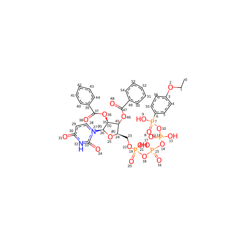 CCOc1ccc(P(=O)(O)OP(=O)(O)OP(=O)(O)OP(=O)(O)OC[C@H]2O[C@@H](n3ccc(=O)[nH]c3=O)[C@@H](OC(=O)c3ccccc3)C2OC(=O)c2ccccc2)cc1